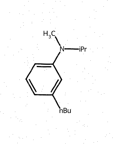 CCCCc1cccc(N(C)C(C)C)c1